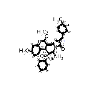 COC(=O)C1=c2s/c(=C\c3ccc(C)cc3)c(=O)n2C(N)=C(S(=O)(=O)c2ccccc2)C1c1ccc(C)cc1